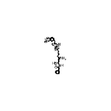 CN/C(=C\C=C(/N)CCCCc1nnc(NC(=O)Cc2cccc(CS(C)(=O)=O)c2)s1)NC(=O)Cc1ccccc1